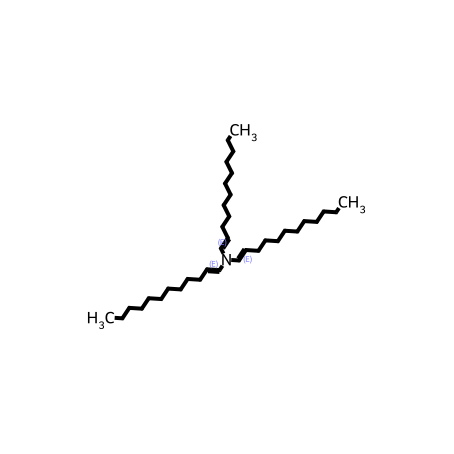 CCCCCCCCCC/C=C/N(/C=C/CCCCCCCCCC)/C=C/CCCCCCCCCC